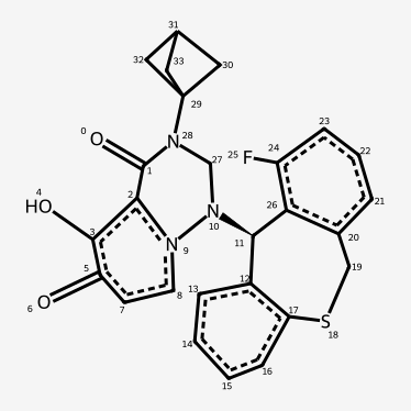 O=C1c2c(O)c(=O)ccn2N([C@@H]2c3ccccc3SCc3cccc(F)c32)CN1C12CC(C1)C2